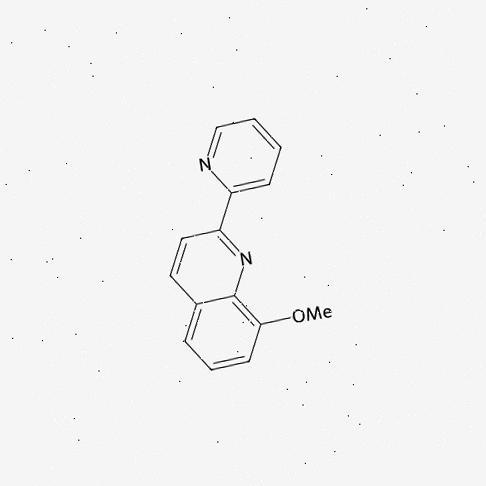 COc1cccc2ccc(-c3ccccn3)nc12